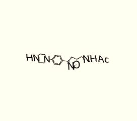 CC(=O)NCC1CC(c2ccc(N3CCNCC3)cc2)=NO1